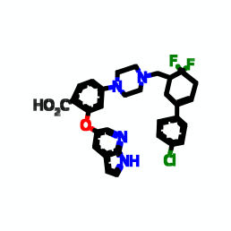 O=C(O)c1ccc(N2CCN(CC3CC(c4ccc(Cl)cc4)=CCC3(F)F)CC2)cc1Oc1cnc2[nH]ccc2c1